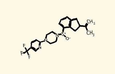 C=C(C)C1Cc2cccc([S+]([O-])N3CCN(c4ccc(C(F)(F)F)cn4)CC3)c2C1